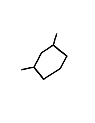 C[C]1C[CH]CC(C)C1